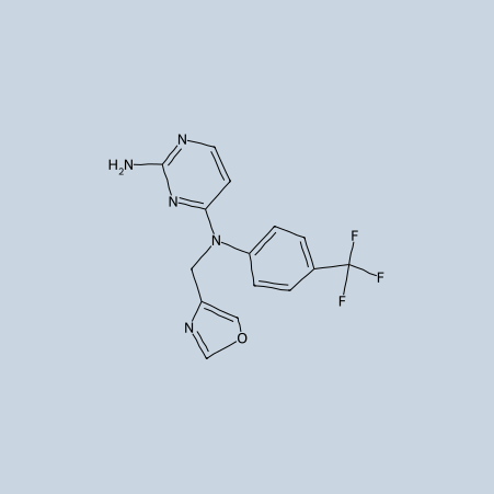 Nc1nccc(N(Cc2cocn2)c2ccc(C(F)(F)F)cc2)n1